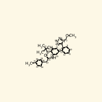 COCn1nnnc1-c1ccccc1-c1ccc(SC(C)(C)C)c(NC(=O)Cc2ccc(C)cc2)c1